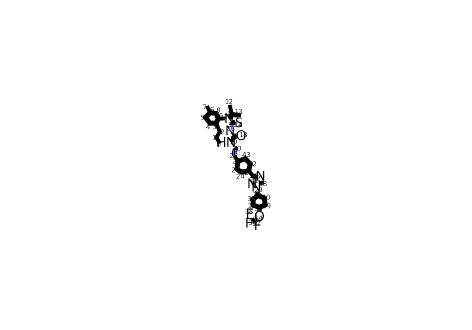 CCCc1ccc(C)cc1-n1c(C)cs/c1=N\C(=O)N/C=C/c1ccc(-c2ncn(-c3ccc(OC(F)(F)F)cc3)n2)cc1